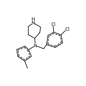 Cc1cccc(N(Cc2ccc(Cl)c(Cl)c2)C2CCNCC2)c1